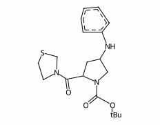 CC(C)(C)OC(=O)N1CC(Nc2ccccc2)CC1C(=O)N1CCSC1